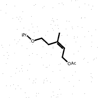 CC(=O)OCC=C(C)CCOC(C)C